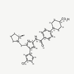 C[C@@H]1CCCN1Cc1sc(NC(=O)c2cnc(N3CCC(C(=O)O)CC3)cn2)nc1-c1csc(Cl)c1